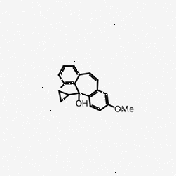 COc1ccc2c(c1)C=Cc1cccc(C)c1C2(O)C1CC1